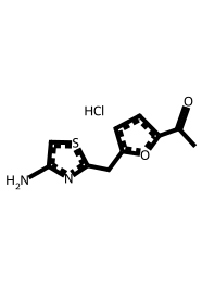 CC(=O)c1ccc(Cc2nc(N)cs2)o1.Cl